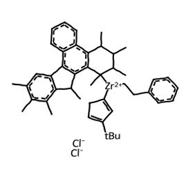 Cc1cc2c(c(C)c1C)C(C)c1c3c(c4ccccc4c1-2)C(C)C(C)C(C)[C]3(C)[Zr+2](=[CH]Cc1ccccc1)[C]1=CC(C(C)(C)C)=CC1.[Cl-].[Cl-]